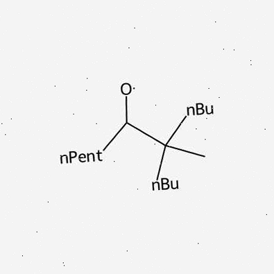 CCCCCC([O])C(C)(CCCC)CCCC